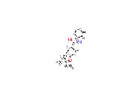 CC(C)(C)Oc1ccc(C(=O)Nc2ccccc2)cc1